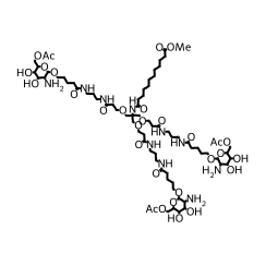 COC(=O)CCCCCCCCCCC(=O)NC(COCCC(=O)NCCCNC(=O)CCCCOC1OC(COC(C)=O)C(O)C(O)C1N)(COCCC(=O)NCCCNC(=O)CCCCOC1OC(COC(C)=O)C(O)C(O)C1N)COCCC(=O)NCCCNC(=O)CCCCOC1OC(COC(C)=O)C(O)C(O)C1N